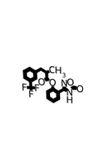 CC(Cc1cccc(C(F)(F)F)c1)C(=O)Oc1ccccc1-c1noc(=O)[nH]1